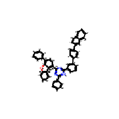 c1ccc(-c2nc(-c3cccc(-c4ccc(-c5ccc6ccccc6c5)cc4)c3)nc(-c3ccc(-c4ccccc4)c4oc5ccccc5c34)n2)cc1